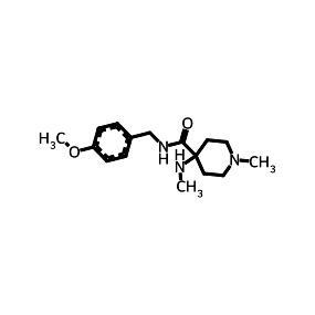 CNC1(C(=O)NCc2ccc(OC)cc2)CCN(C)CC1